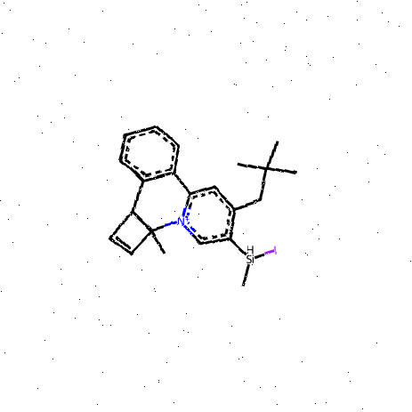 C[SiH](I)c1c[n+]2c(cc1CC(C)(C)C)-c1ccccc1C1C=CC12C